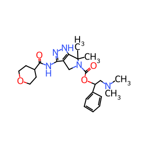 CN(C)CC(OC(=O)N1Cc2c(NC(=O)C3CCOCC3)n[nH]c2C1(C)C)c1ccccc1